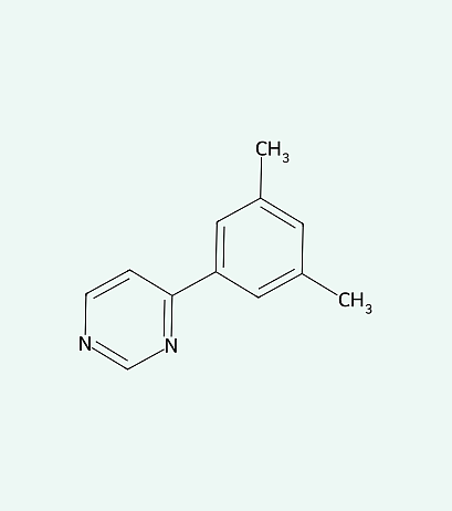 Cc1cc(C)cc(-c2ccncn2)c1